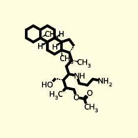 CC(=O)OCC(C)[C@H](CO)C(C[C@@H](C)[C@H]1CC[C@H]2[C@@H]3CCC4CCCC[C@]4(C)[C@H]3CC[C@]12C)NCCCN